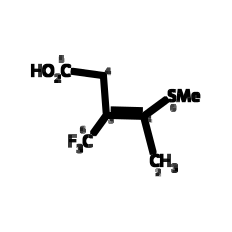 CS/C(C)=C(\CC(=O)O)C(F)(F)F